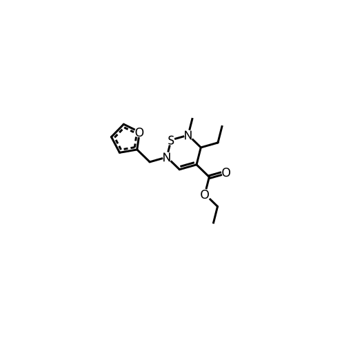 CCOC(=O)C1=CN(Cc2ccco2)SN(C)C1CC